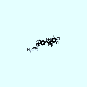 CCC(=O)N1CC2(C1)OCc1cc(C3=NNC(c4cc(Cl)c(Cl)c(Cl)c4)(C(F)(F)F)C3)ccc12